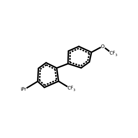 CC(C)c1ccc(-c2ccc(OC(F)(F)F)cc2)c(C(F)(F)F)c1